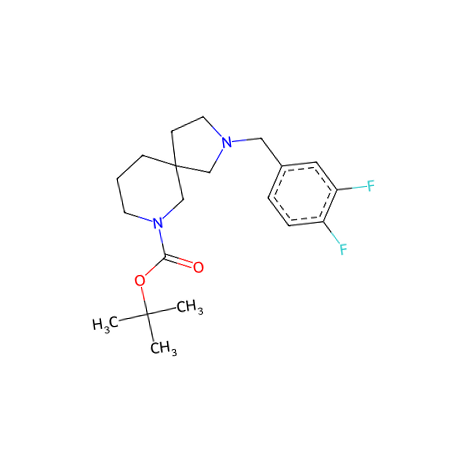 CC(C)(C)OC(=O)N1CCCC2(CCN(Cc3ccc(F)c(F)c3)C2)C1